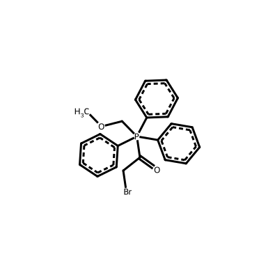 COCP(C(=O)CBr)(c1ccccc1)(c1ccccc1)c1ccccc1